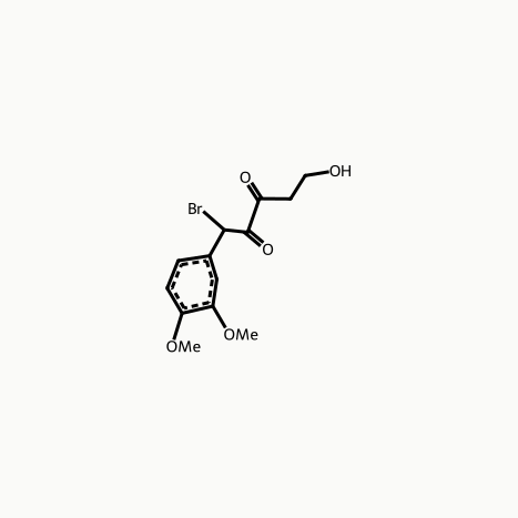 COc1ccc(C(Br)C(=O)C(=O)CCO)cc1OC